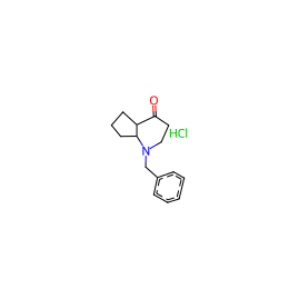 Cl.O=C1CCN(Cc2ccccc2)C2CCCC12